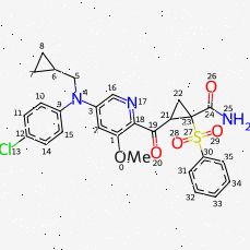 COc1cc(N(CC2CC2)c2ccc(Cl)cc2)cnc1C(=O)C1CC1(C(N)=O)S(=O)(=O)c1ccccc1